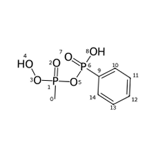 CP(=O)(OO)OP(=O)(O)c1ccccc1